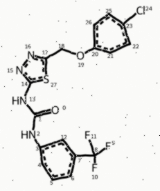 O=C(Nc1cccc(C(F)(F)F)c1)Nc1nnc(COc2ccc(Cl)cc2)s1